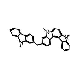 Cn1c2ccccc2c2ccc(Cc3ccc4c5c6c7ccccc7n(C)c6ccc5n(C)c4c3)cc21